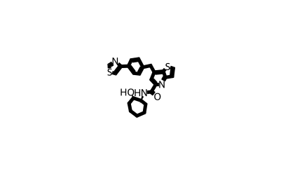 O=C(N[C@H]1CCCCC[C@@H]1O)c1cc(Cc2ccc(-c3cscn3)cc2)c2sccc2n1